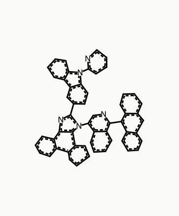 c1ccc(-n2c3ccccc3c3cc(-c4nc5c6ccccc6c6ccccc6c5n4-c4cnc(-c5c6ccccc6cc6ccccc56)c5ccccc45)ccc32)nc1